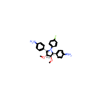 CO[C@H]1[C@H](OC)[C@H](c2ccc(N)cc2)N(c2ccc(F)cc2)[C@H]1c1ccc(N)cc1